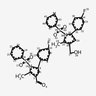 Cc1c(C=O)cc(-c2ccc(F)cc2)n1S(=O)(=O)c1ccccc1.Cc1c(CO)cc(-c2ccc(F)cc2)n1S(=O)(=O)c1ccccc1